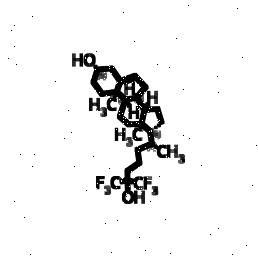 C[C@H](CCCC(O)(C(F)(F)F)C(F)(F)F)[C@H]1CC[C@H]2[C@@H]3CC=C4C[C@@H](O)CC[C@]4(C)[C@H]3CC[C@]12C